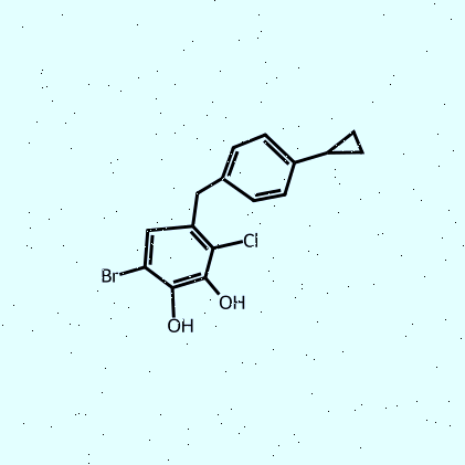 Oc1c(Br)cc(Cc2ccc(C3CC3)cc2)c(Cl)c1O